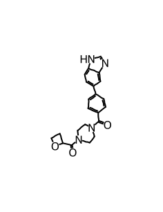 O=C(c1ccc(-c2ccc3[nH]cnc3c2)cc1)N1CCN(C(=O)C2CCO2)CC1